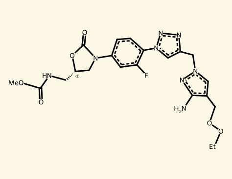 CCOOCc1cn(Cc2cn(-c3ccc(N4C[C@H](CNC(=O)OC)OC4=O)cc3F)nn2)nc1N